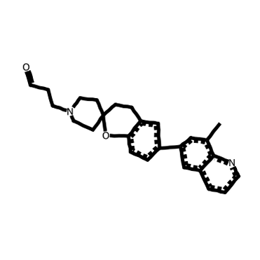 Cc1cc(-c2ccc3c(c2)CCC2(CCN(CCC=O)CC2)O3)cc2cccnc12